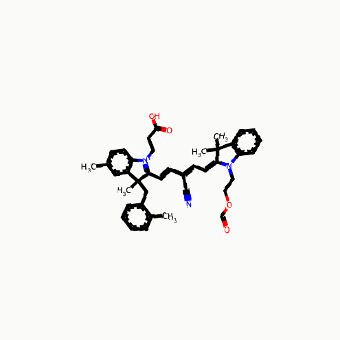 Cc1ccc2c(c1)C(C)(Cc1ccccc1C)C(/C=C/C(C#N)=C/C=C1/N(CCOC=O)c3ccccc3C1(C)C)=[N+]2CCC(=O)O